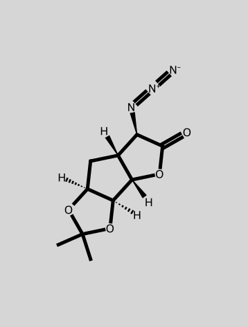 CC1(C)O[C@@H]2[C@H]3OC(=O)[C@H](N=[N+]=[N-])[C@H]3C[C@@H]2O1